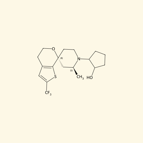 C[C@H]1C[C@@]2(CCN1C1CCCC1O)OCCc1cc(C(F)(F)F)sc12